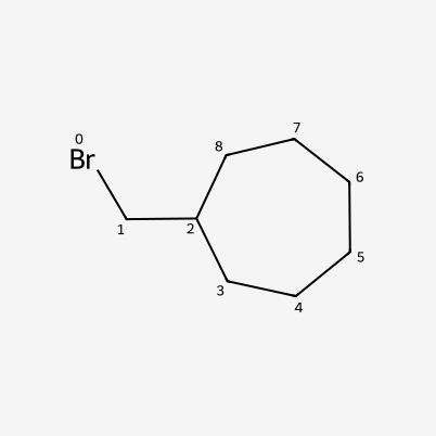 BrCC1CCCCCC1